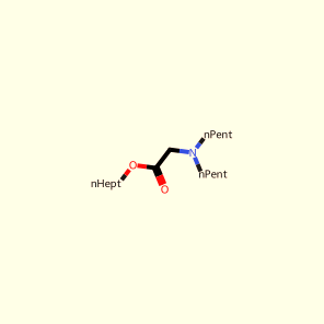 CCCCCCCOC(=O)CN(CCCCC)CCCCC